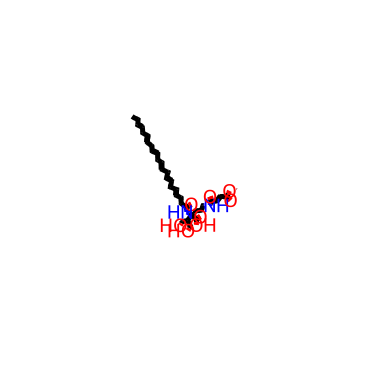 CCC=CCC=CCC=CCC=CCC=CCC=CCCC(=O)N[C@](CCCNC(=O)C=CC(=O)OC)(C(=O)O)C(CO)CO